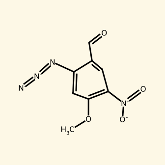 COc1cc(N=[N+]=[N-])c(C=O)cc1[N+](=O)[O-]